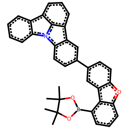 CC1(C)OB(c2cccc3oc4ccc(-c5ccc6c(c5)c5cccc7c8ccccc8n6c75)cc4c23)OC1(C)C